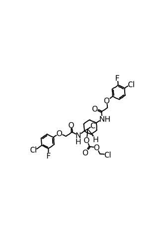 O=C(COc1ccc(Cl)c(F)c1)NC12CCC(NC(=O)COc3ccc(Cl)c(F)c3)(CC1)[C@@H](OC(=O)OCCl)C2